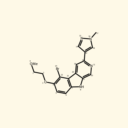 COCCOc1ccc2[nH]c3cnc(-c4cnn(C)c4)cc3c2c1Br